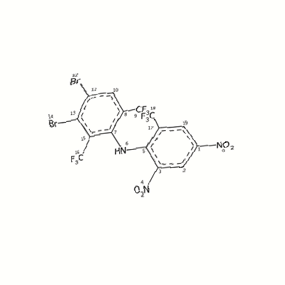 O=[N+]([O-])c1cc([N+](=O)[O-])c(Nc2c(C(F)(F)F)cc(Br)c(Br)c2C(F)(F)F)c(C(F)(F)F)c1